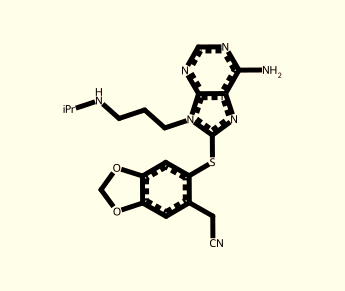 CC(C)NCCCn1c(Sc2cc3c(cc2CC#N)OCO3)nc2c(N)ncnc21